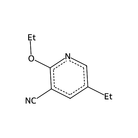 CCOc1ncc(CC)cc1C#N